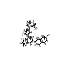 CN1CCc2ccc(-c3cc4nccn4c(-c4cnn(C(CN)C5CC5)c4)n3)cc2C1